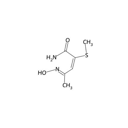 CSC(=CC(C)=NO)C(N)=O